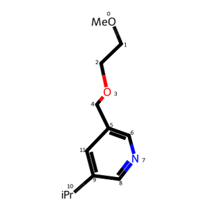 COCCOCc1cncc(C(C)C)c1